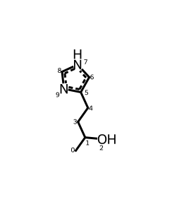 CC(O)CCc1c[nH]cn1